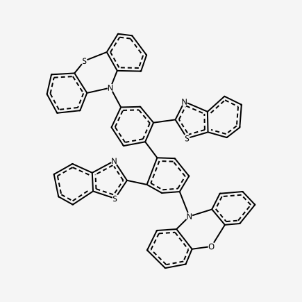 c1ccc2c(c1)Oc1ccccc1N2c1ccc(-c2ccc(N3c4ccccc4Sc4ccccc43)cc2-c2nc3ccccc3s2)c(-c2nc3ccccc3s2)c1